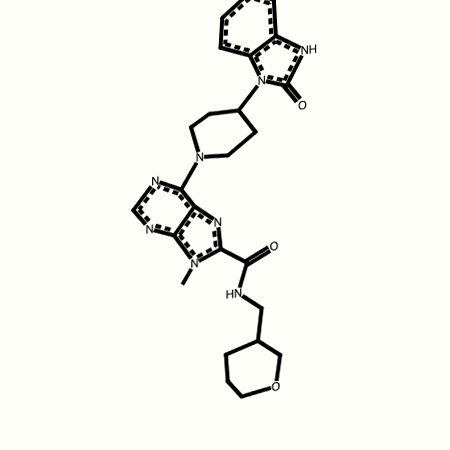 Cn1c(C(=O)NCC2CCCOC2)nc2c(N3CCC(n4c(=O)[nH]c5ccccc54)CC3)ncnc21